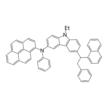 CCn1c2ccc(C(Cc3ccccc3)c3cccc4ccccc34)cc2c2cc(N(c3ccccc3)c3ccc4ccc5cccc6ccc3c4c56)ccc21